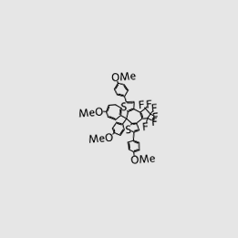 COC1=CCC=C(C2(c3ccc(OC)cc3)c3sc(-c4ccc(OC)cc4)cc3C3=C(c4cc(-c5ccc(OC)cc5)sc42)C(F)(F)C(F)(F)C3(F)F)C=C1